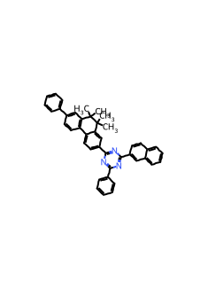 CC1(C)c2cc(-c3ccccc3)ccc2-c2ccc(-c3nc(-c4ccccc4)nc(-c4ccc5ccccc5c4)n3)cc2C1(C)C